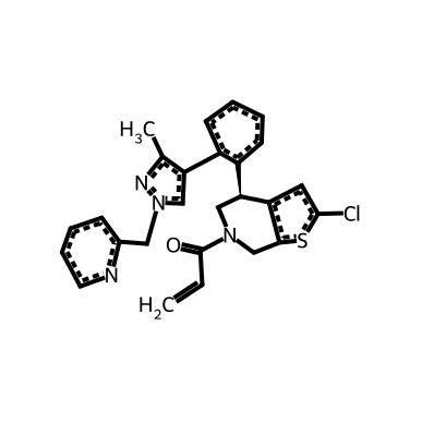 C=CC(=O)N1Cc2sc(Cl)cc2[C@H](c2ccccc2-c2cn(Cc3ccccn3)nc2C)C1